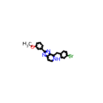 COc1cccc(-c2nc3cc[nH]c(Cc4ccc(Br)cc4)c-3n2)c1